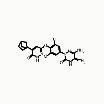 C=C1NC(=O)N(c2cc(Cl)c(Oc3cc(C45CCC(C4)C5)c(=O)[nH]n3)c(Cl)c2)N=C1N